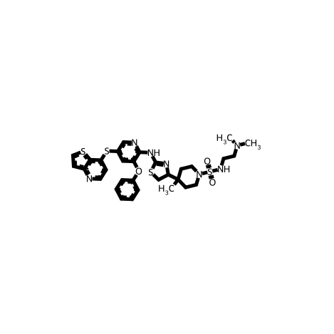 CN(C)CCNS(=O)(=O)N1CCC(C)(C2CSC(Nc3ncc(Sc4ccnc5ccsc45)cc3Oc3ccccc3)=N2)CC1